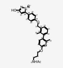 CC(=O)NCCCOc1ccc(-c2cccc(COc3ccc(-c4cc(O)n[s+]4[O-])cc3)c2C)c(C)n1